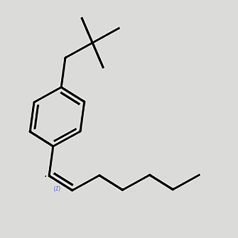 CCCCC/C=[C]\c1ccc(CC(C)(C)C)cc1